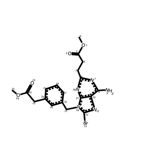 COC(=O)CCc1nc(N)c2nc(Br)n(Cc3cccc(CC(=O)OC)c3)c2n1